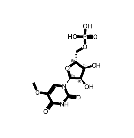 COc1cn([C@@H]2O[C@H](COP(=O)(O)O)[C@@H](O)[C@H]2O)c(=O)[nH]c1=O